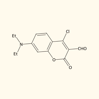 CCN(CC)c1ccc2c(Cl)c(C=O)c(=O)oc2c1